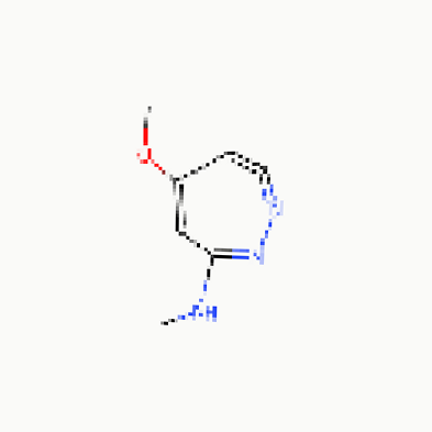 CNC1=NN=C=CC(OC)=C1